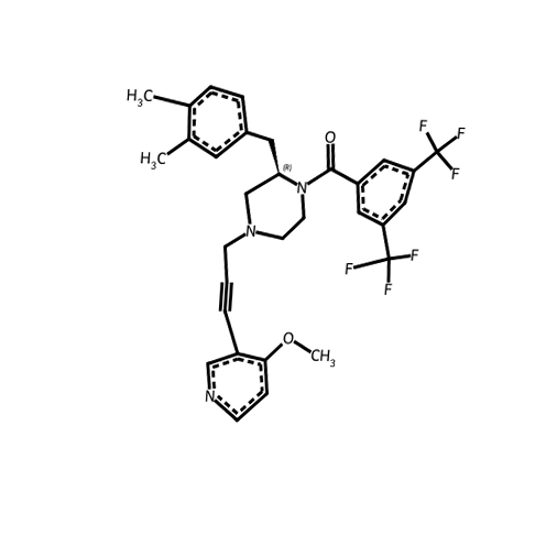 COc1ccncc1C#CCN1CCN(C(=O)c2cc(C(F)(F)F)cc(C(F)(F)F)c2)[C@H](Cc2ccc(C)c(C)c2)C1